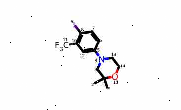 CC1(C)CN(c2ccc(I)c(C(F)(F)F)c2)CCO1